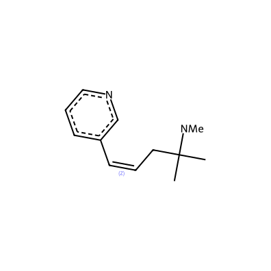 CNC(C)(C)C/C=C\c1cccnc1